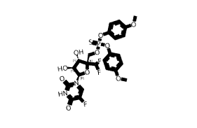 COc1ccc(OP(=S)(OC[C@@]2(C(F)F)O[C@@H](n3cc(F)c(=O)[nH]c3=O)[C@@H](O)[C@@H]2O)Oc2ccc(OC)cc2)cc1